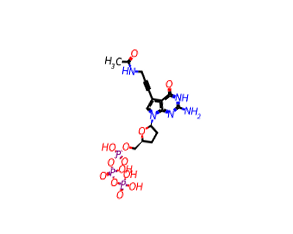 CC(=O)NCC#Cc1cn([C@H]2CC[C@@H](COP(=O)(O)OP(=O)(O)OP(=O)(O)O)O2)c2nc(N)[nH]c(=O)c12